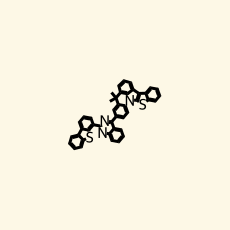 CC1(C)c2cc(-c3nc(-c4cccc5c4sc4ccccc45)nc4ccccc34)ccc2-n2c3sc4ccccc4c3c3cccc1c32